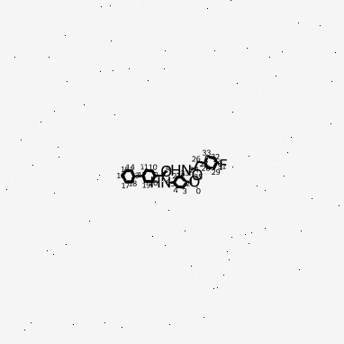 COc1ccc(NC(=O)c2ccc(-c3ccccc3)cc2)cc1NC(=O)Cc1ccc(F)cc1